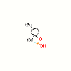 CC(C)(C)c1ccc(OP(O)F)c(C(C)(C)C)c1